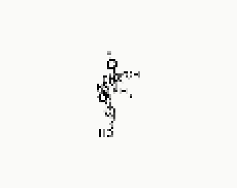 CCc1nc2ccc(N3CCN(CCCO)CC3)nn2c1N(C)c1nc(-c2ccc(F)cc2)c(CO)s1